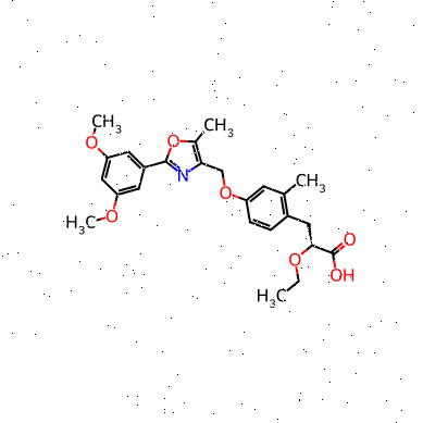 CCO[C@@H](Cc1ccc(OCc2nc(-c3cc(OC)cc(OC)c3)oc2C)cc1C)C(=O)O